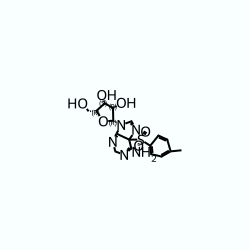 Cc1ccc(S(=O)(=O)C23N=CN([C@@H]4O[C@H](CO)[C@@H](O)[C@H]4O)C2=NCN=C3N)cc1